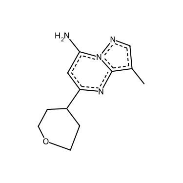 Cc1cnn2c(N)cc(C3CCOCC3)nc12